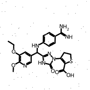 CCOc1cc(C(Nc2ccc(C(=N)N)cc2)c2nn(C3=C(C(=O)O)SCC3)c(=O)[nH]2)cnc1OC